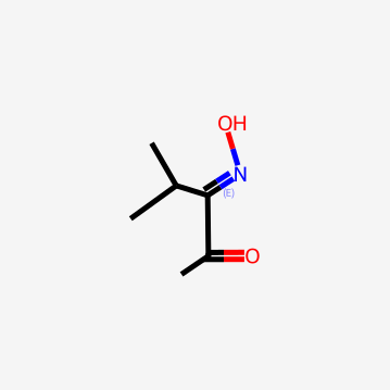 CC(=O)/C(=N/O)C(C)C